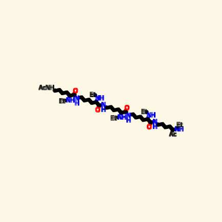 CCNC(CCCCNC(=O)C(CCCCNC(=O)C(CCCCNC(=O)C(CCCCNC(=O)C(CCCCNC(C)=O)NCC)NCC)NCC)NCC)C(C)=O